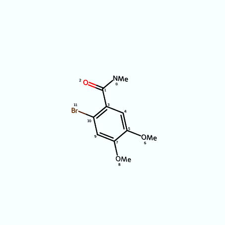 CNC(=O)c1cc(OC)c(OC)cc1Br